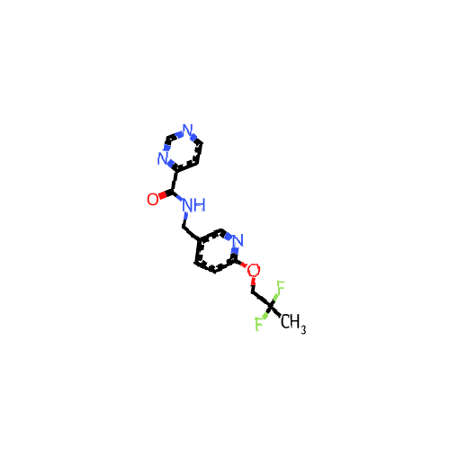 CC(F)(F)COc1ccc(CNC(=O)c2ccncn2)cn1